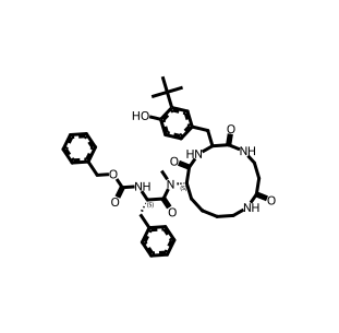 CN(C(=O)[C@H](Cc1ccccc1)NC(=O)OCc1ccccc1)[C@H]1CCCCNC(=O)CCNC(=O)C(Cc2ccc(O)c(C(C)(C)C)c2)NC1=O